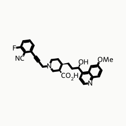 COc1ccc2nccc([C@H](O)CC[C@@H]3CCN(CC#Cc4cccc(F)c4C#N)C[C@@H]3C(=O)O)c2c1